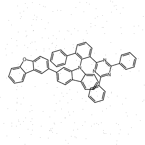 c1ccc(-c2nc(-c3ccccc3)nc(-c3cccc(-c4ccccc4)c3-n3c4ccccc4c4ccc(-c5ccc6oc7ccccc7c6c5)cc43)n2)cc1